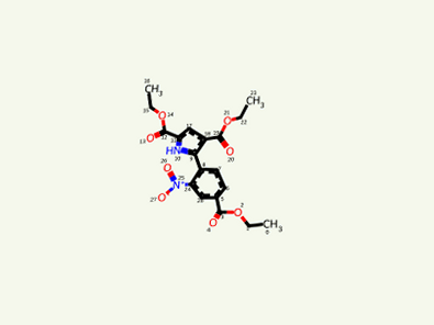 CCOC(=O)c1ccc(-c2[nH]c(C(=O)OCC)cc2C(=O)OCC)c([N+](=O)[O-])c1